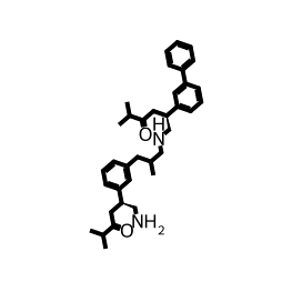 CC(CNC[C@@H](CC(=O)C(C)C)c1cccc(-c2ccccc2)c1)Cc1cccc([C@@H](CN)CC(=O)C(C)C)c1